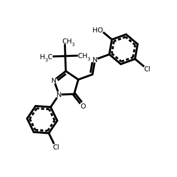 CC(C)(C)C1=NN(c2cccc(Cl)c2)C(=O)C1/C=N/c1cc(Cl)ccc1O